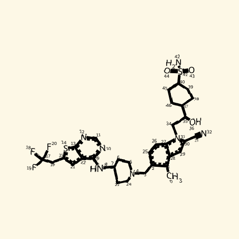 Cc1c(CN2CCC(Nc3ncnc4sc(CC(F)(F)F)cc34)CC2)ccc2c1cc(C#N)n2CC(O)C1CCC(S(N)(=O)=O)CC1